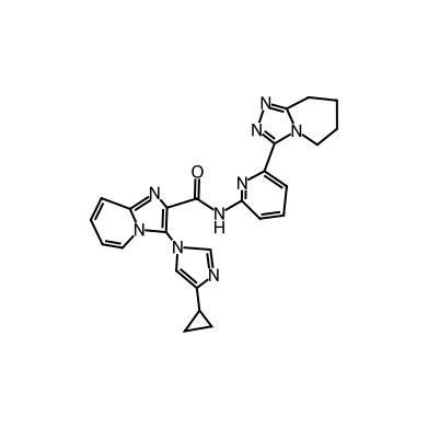 O=C(Nc1cccc(-c2nnc3n2CCCC3)n1)c1nc2ccccn2c1-n1cnc(C2CC2)c1